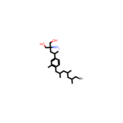 Cc1cc(C(C)CC(N)(CO)CO)ccc1CC(C)CC(C)CC(C)CC(C)C